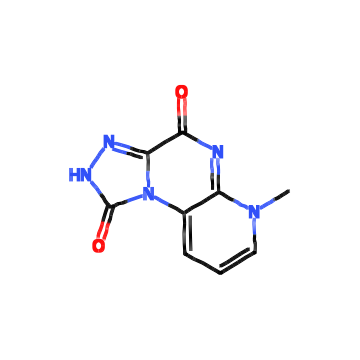 Cn1cccc2c1nc(=O)c1n[nH]c(=O)n12